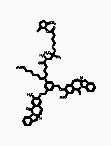 C=C1CCC(=O)N1OC(=O)CCCSSC(C)(C)CN(C)C(=O)CCCN(CCOCCOCCC)c1cc(COc2cc3c(cc2C)C(=O)N2c4ccccc4C[C@H]2C=N3)cc(COc2cc3c(cc2OC)C(=O)N2c4ccccc4C[C@H]2C=N3)c1